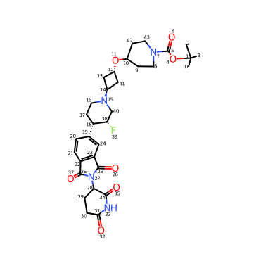 CC(C)(C)OC(=O)N1CCC(O[C@H]2C[C@H](N3CC[C@@H](c4ccc5c(c4)C(=O)N(C4CCC(=O)NC4=O)C5=O)[C@@H](F)C3)C2)CC1